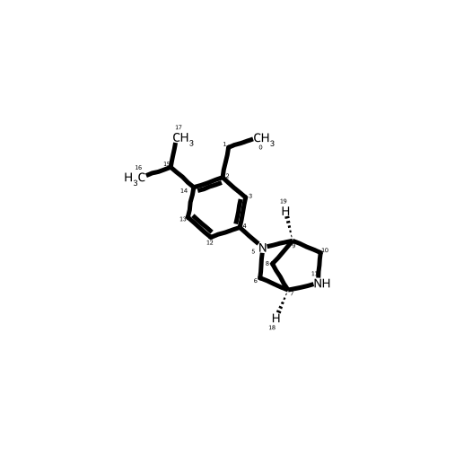 CCc1cc(N2C[C@H]3C[C@@H]2CN3)ccc1C(C)C